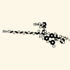 COCCOCCOCCOCCOCCOCCC(=O)N[C@H](CC(=O)N1CC2(CCCN2C(=O)OC(C)(C)C)C1)C(=O)Nc1cccc(-c2cc3c(cc2OC)OCc2c(C(=O)N4CCOCC4(C)C)nn(-c4cc(Cl)cc(Cl)c4)c2-3)c1